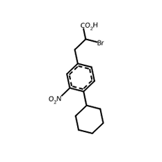 O=C(O)C(Br)Cc1ccc(C2CCCCC2)c([N+](=O)[O-])c1